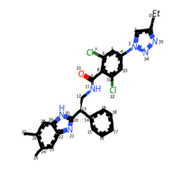 CCc1cn(-c2cc(Cl)c(C(=O)NC[C@@H](c3ccccc3)c3nc4cc(C)c(C)cc4[nH]3)c(Cl)c2)nn1